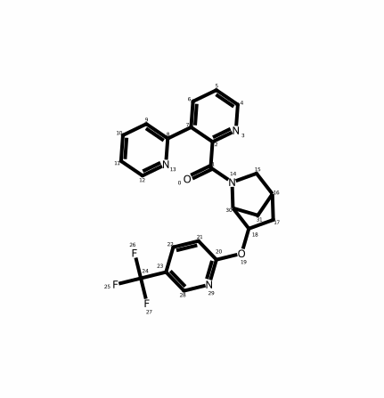 O=C(c1ncccc1-c1ccccn1)N1CC2CC(Oc3ccc(C(F)(F)F)cn3)C1C2